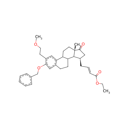 CCOC(=O)C=CC[C@@H]1CC(=O)[C@@]2(C)CCC3c4cc(CCOC)c(OCc5ccccc5)cc4CCC3C12